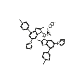 CC1=Cc2c(-c3ccc(C)cc3)cc(-p3cccc3)cc2[C@@H]1[Zr+2]([C@H]1C(C)=Cc2c(-c3ccc(C)cc3)cc(-p3cccc3)cc21)=[Si](C)C.[Cl-].[Cl-]